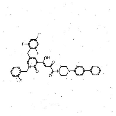 O=C(/C=C(\O)c1cc(Cc2c(F)cc(F)cc2F)cn(Cc2ccccc2F)c1=O)C(=O)N1CCN(c2ccc(-c3ccccc3)cc2)CC1